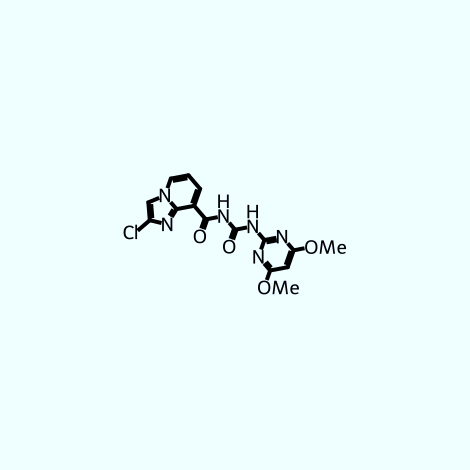 COc1cc(OC)nc(NC(=O)NC(=O)c2cccn3cc(Cl)nc23)n1